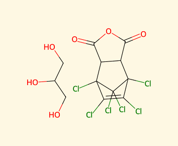 O=C1OC(=O)C2C1C1(Cl)C(Cl)=C(Cl)C2(Cl)C1(Cl)Cl.OCC(O)CO